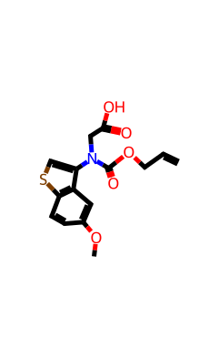 C=CCOC(=O)N(CC(=O)O)c1csc2ccc(OC)cc12